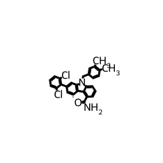 Cc1ccc(Cn2c3cc(-c4c(Cl)cccc4Cl)c[c]c3c3c(C(N)=O)cccc32)cc1C